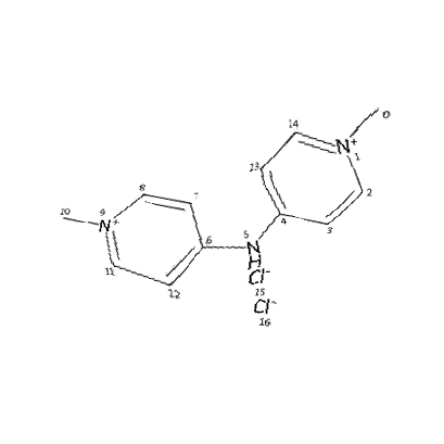 C[n+]1ccc(Nc2cc[n+](C)cc2)cc1.[Cl-].[Cl-]